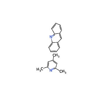 Cc1cc(C)nc(C)c1.c1ccc2nc3ccccc3cc2c1